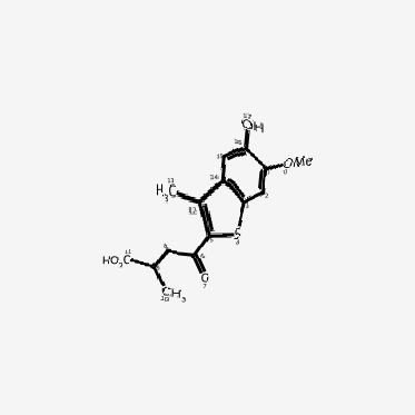 COc1cc2sc(C(=O)CC(C)C(=O)O)c(C)c2cc1O